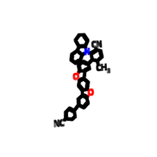 CC1C=CC(C#N)=C(N2C3=C(CCC=C3)C3C=CC=CC32)C1c1ccc2oc3cc4c(cc3c2c1)oc1ccc(C2=CC=C(C#N)CC2)cc14